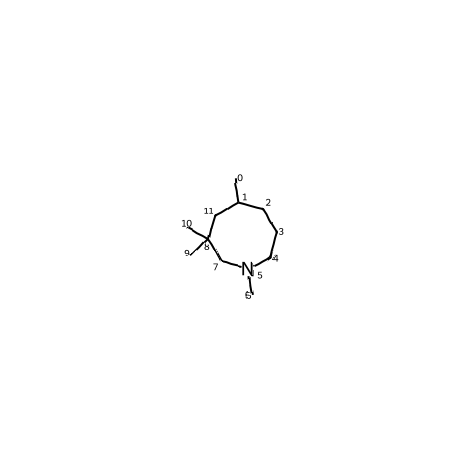 CC1CCCN(C)CC(C)(C)C1